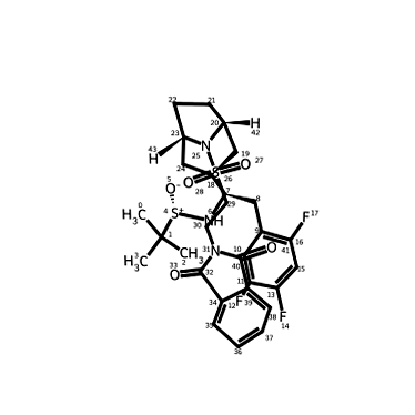 CC(C)(C)[S@+]([O-])N[C@H](Cc1cc(F)c(F)cc1F)[C@@H]1C[C@H]2CC[C@@H](C1)N2S(=O)(=O)CCN1C(=O)c2ccccc2C1=O